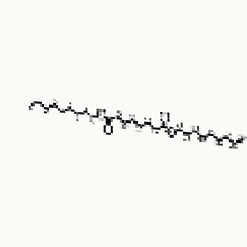 CCCCCCCCCOC(=O)CCCCCCC(=O)OCCCCCCCCC